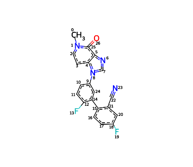 Cn1ccc2c(ncn2-c2ccc(F)c(-c3ccc(F)cc3C#N)c2)c1=O